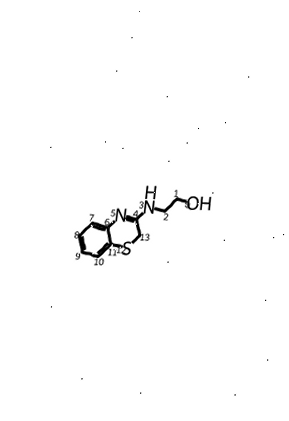 OCCNC1=Nc2ccccc2SC1